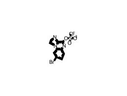 O=S(=O)(Oc1nc2ccc(Br)cc2n2ccnc12)C(F)(F)F